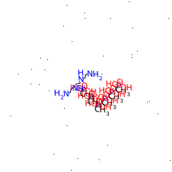 CP(=O)(O)O.CP(=O)(O)O.CP(=O)(O)O.CP(=O)(O)O.CP(=O)(O)O.CP(=O)(O)O.NCCNCCNCCN